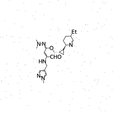 CCC1C=N[C@@H](C2C[C@@H]2COC(/C=C(\C=O)NCc2cnn(C)c2)=N/N(C)C)CC1